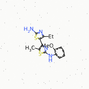 CCc1nc(N)sc1-c1nc(Nc2ccccc2OC)sc1C